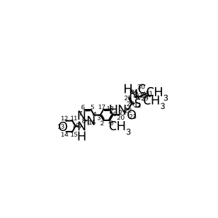 Cc1cc(-c2ccnc(NC3CCOCC3)n2)ccc1CNC(=O)c1cnc(C(C)(C)C)s1